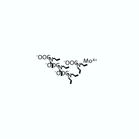 C=CCN(CC=C)C(=O)[O-].C=CCN(CC=C)C(=O)[O-].C=CCN(CC=C)C(=O)[O-].C=CCN(CC=C)C(=O)[O-].[Mo+4]